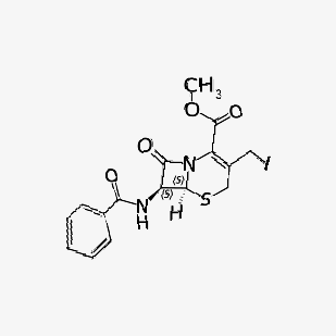 COC(=O)C1=C(CI)CS[C@H]2[C@@H](NC(=O)c3ccccc3)C(=O)N12